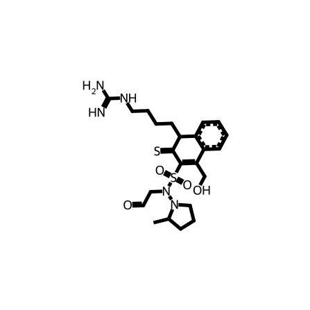 CC1CCCN1N(CC=O)S(=O)(=O)C1=C(CO)c2ccccc2C(CCCCNC(=N)N)C1=S